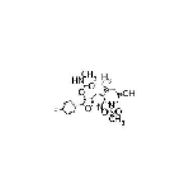 CNC(=O)Oc1c(-c2ccc(F)cc2)oc2nc3c(cc12)[C@@H](C)C[C@H](O)CN3S(C)(=O)=O